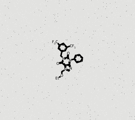 CCOCn1cnc2c1c(=O)n(Cc1cc(C(F)(F)F)cc(C(F)(F)F)c1)c(=O)n2-c1ccccc1